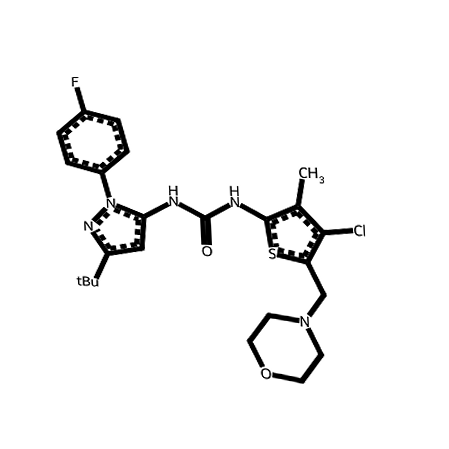 Cc1c(NC(=O)Nc2cc(C(C)(C)C)nn2-c2ccc(F)cc2)sc(CN2CCOCC2)c1Cl